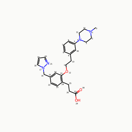 CN1CCN(c2cccc(CCOc3cc(Cn4cccn4)ccc3CCC(=O)O)c2)CC1